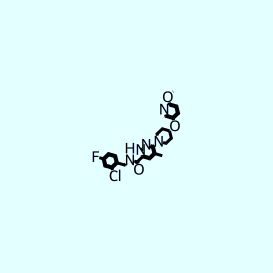 COc1ccc(OC2CCN(c3nnc(C(=O)NCc4ccc(F)cc4Cl)cc3C)CC2)cn1